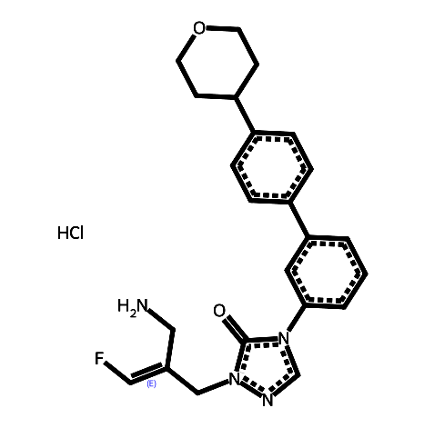 Cl.NC/C(=C\F)Cn1ncn(-c2cccc(-c3ccc(C4CCOCC4)cc3)c2)c1=O